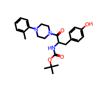 Cc1ccccc1N1CCN(C(=O)C(Cc2ccc(O)cc2)NC(=O)OC(C)(C)C)CC1